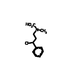 CN(CCC(Cl)c1ccccc1)C(=O)O